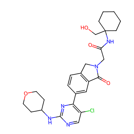 O=C(CN1Cc2ccc(-c3nc(NC4CCOCC4)ncc3Cl)cc2C1=O)NC1(CO)CCCCC1